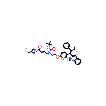 CC/C(=C(/c1ccc(OCCN(C/C=C/C(=O)N2CC(CF)C2)C(=O)OC(C)(C)C)nc1)c1[nH]c2ccccc2c1Cl)c1ccccc1